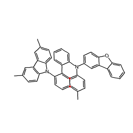 Cc1ccc(N(c2ccc3oc4ccccc4c3c2)c2ccccc2-c2ccccc2-n2c3ccc(C)cc3c3cc(C)ccc32)cc1